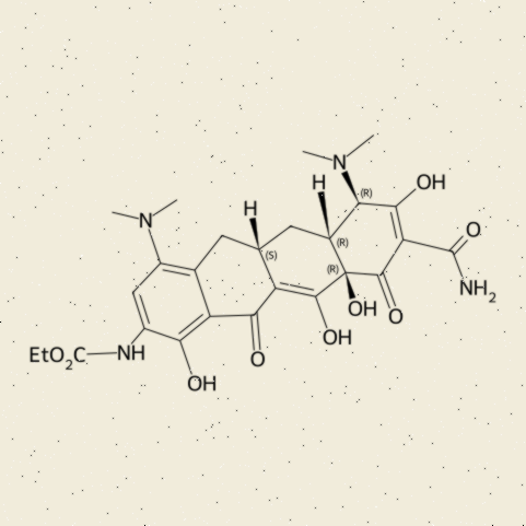 CCOC(=O)Nc1cc(N(C)C)c2c(c1O)C(=O)C1=C(O)[C@@]3(O)C(=O)C(C(N)=O)=C(O)[C@H](N(C)C)[C@H]3C[C@H]1C2